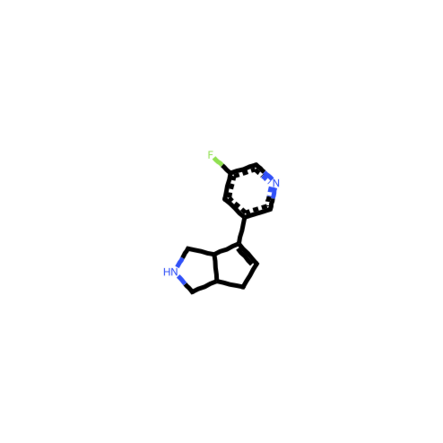 Fc1cncc(C2=CCC3CNCC23)c1